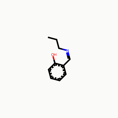 CCC/N=C\c1ccccc1O